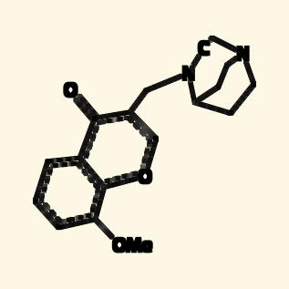 COc1cccc2c(=O)c(CN3CCN4CCC3CC4)coc12